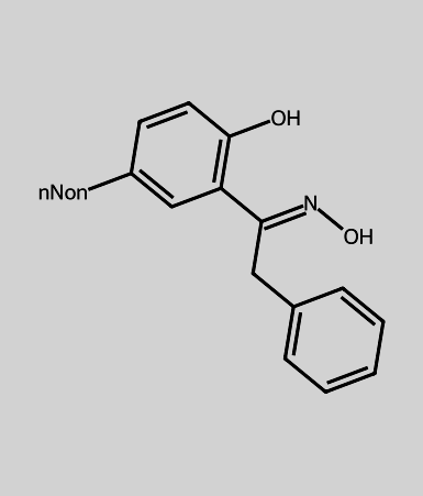 CCCCCCCCCc1ccc(O)c(C(Cc2ccccc2)=NO)c1